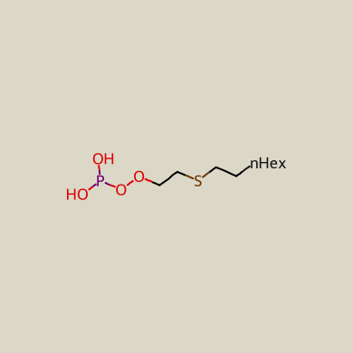 CCCCCCCCSCCOOP(O)O